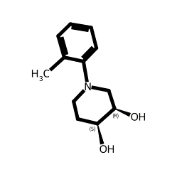 Cc1ccccc1N1CC[C@H](O)[C@H](O)C1